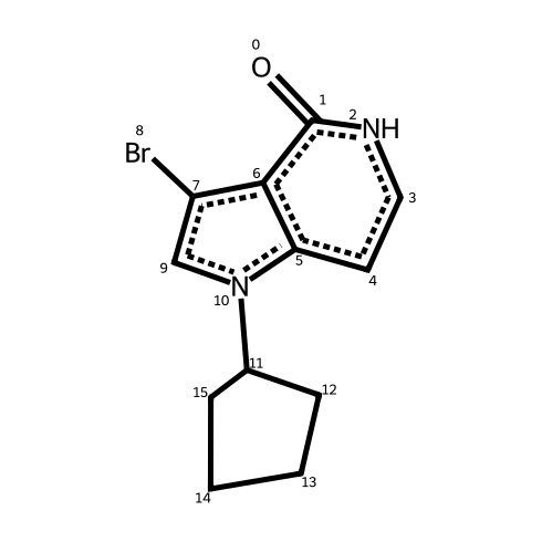 O=c1[nH]ccc2c1c(Br)cn2C1CCCC1